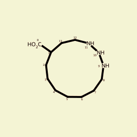 O=C(O)C1CCCCCCCNNNCC1